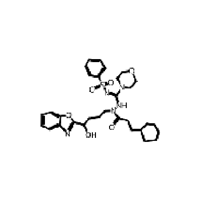 O=C(CCC1CCCCC1)N(CCCC(O)c1nc2ccccc2o1)NC(=NS(=O)(=O)c1ccccc1)N1CCOCC1